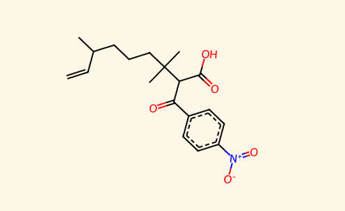 C=CC(C)CCCC(C)(C)C(C(=O)O)C(=O)c1ccc([N+](=O)[O-])cc1